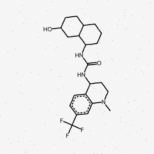 CN1CCC(NC(=O)NC2CCCC3CCC(O)CC32)c2ccc(C(F)(F)F)cc21